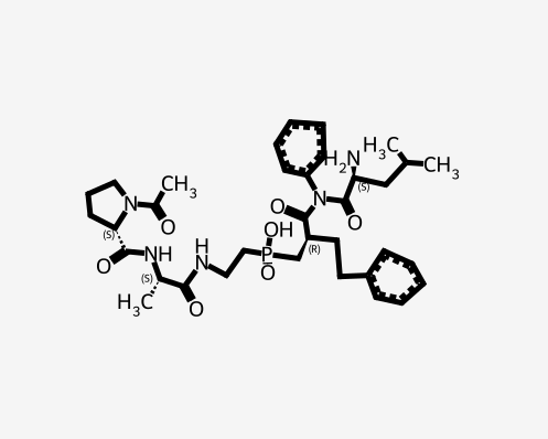 CC(=O)N1CCC[C@H]1C(=O)N[C@@H](C)C(=O)NCCP(=O)(O)C[C@H](CCc1ccccc1)C(=O)N(C(=O)[C@@H](N)CC(C)C)c1ccccc1